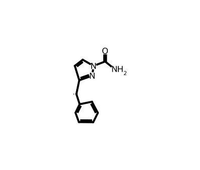 NC(=O)n1ccc([CH]c2ccccc2)n1